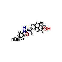 C=C1CCC2C(C(C)CC(O)C2(C)C)C1CC/C(C)=C/C(=O)Nc1ccc(CCCC)cc1